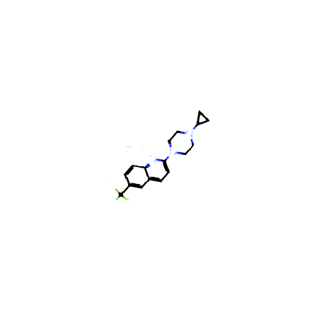 Cl.FC(F)(F)c1ccc2nc(N3CCN(C4CC4)CC3)ccc2c1